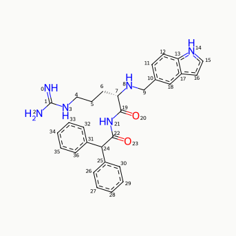 N=C(N)NCCC[C@H](NCc1ccc2[nH]ccc2c1)C(=O)NC(=O)C(c1ccccc1)c1ccccc1